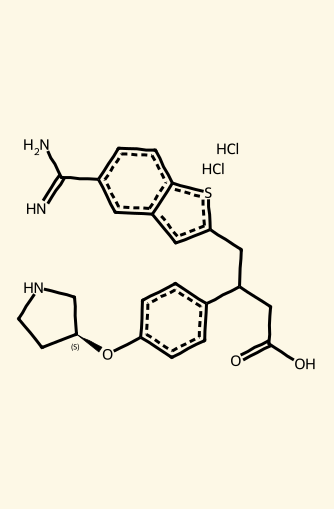 Cl.Cl.N=C(N)c1ccc2sc(CC(CC(=O)O)c3ccc(O[C@H]4CCNC4)cc3)cc2c1